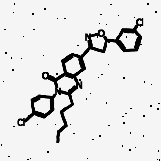 CCCCCc1nc2cc(C3=NOC(c4cccc(Cl)c4)C3)ccc2c(=O)n1-c1ccc(Cl)cc1